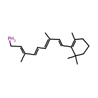 CC(C=CC1=C(C)CCCC1(C)C)=CC=CC(C)=CCP